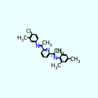 C/C(=N\c1ccc(Cl)c(C)c1)c1cccc(/C(C)=N/c2c(C)cc(C)cc2Cl)n1